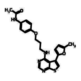 CC(=O)Nc1ccc(OCCCNc2ncnc3scc(-c4ccc(C)o4)c23)cc1